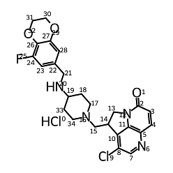 Cl.O=c1ccc2ncc(Cl)c3c2n1CC3CN1CCC(NCc2cc(F)c3c(c2)OCCO3)CC1